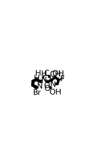 CC(C)(C)[C@@]1(C(=O)Nc2cccc(Br)n2)[C@H](O)[C@@H](F)CN1C(=O)O